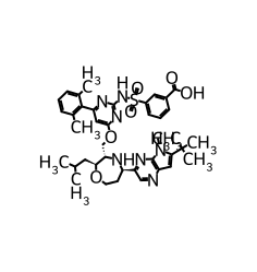 Cc1cccc(C)c1-c1cc(OC[C@@H]2N[C@@H](c3cnc4cc(C(C)(C)C)n(C)c4n3)CCO[C@H]2CC(C)C)nc(NS(=O)(=O)c2cccc(C(=O)O)c2)n1